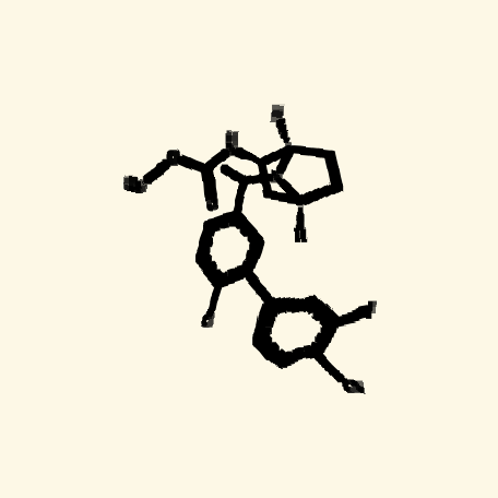 CC(c1ccc(Cl)c(-c2ccc(C#N)c(F)c2)c1)N1[C@H]2CC[C@@H]1[C@H](NC(=O)OC(C)(C)C)C2